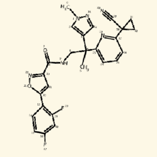 Cn1cc(C(C)(CNC(=O)c2cc(-c3ccc(F)cc3F)on2)c2cccc(C3(C#N)CC3)n2)cn1